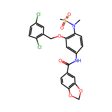 CN(c1ccc(NC(=O)c2ccc3c(c2)OCO3)cc1OCc1cc(Cl)ccc1Cl)S(C)(=O)=O